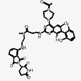 CC(=O)N1CCN(c2nc(NCCC(=O)N(C)CCNc3cccc4c3C(=O)N(C3CCC(=O)NC3=O)C4=O)nc3c(F)c(-c4c(O)cccc4F)c(Cl)cc23)CC1